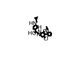 CCOc1ccccc1-c1c(Cl)cc2nc(C(O)c3ccc(NCC4CC4)cc3)[nH]c2c1Cl